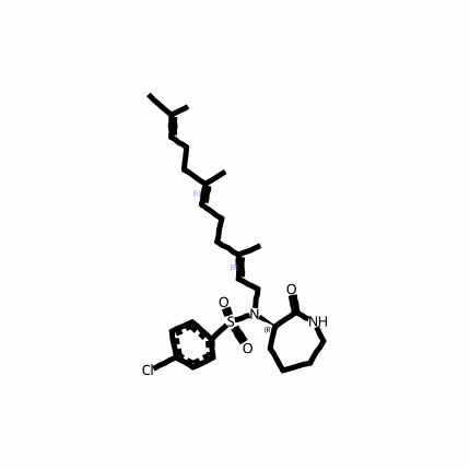 CC(C)=CCC/C(C)=C/CC/C(C)=C/CN([C@@H]1CCCCNC1=O)S(=O)(=O)c1ccc(Cl)cc1